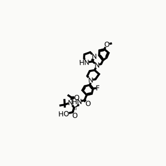 COc1ccc(CN(C2=NCCCN2)C2CCN(c3ccc(C(=O)NC[C@@H](C(=O)O)N(C(C)=O)C(C)(C)C)cc3F)CC2)cc1